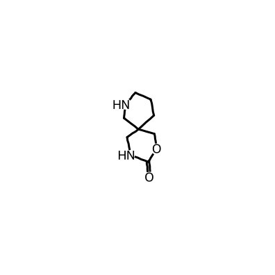 O=C1NCC2(CCCNC2)CO1